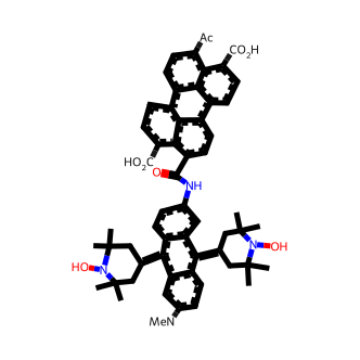 CNc1ccc2c(=C3CC(C)(C)N(O)C(C)(C)C3)c3cc(NC(=O)c4ccc5c6ccc(C(=O)O)c7c(C(C)=O)ccc(c8ccc(C(=O)O)c4c85)c76)ccc3c(=C3CC(C)(C)N(O)C(C)(C)C3)c2c1